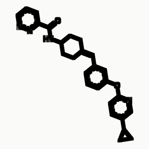 O=C(NC1CCC(=Cc2cccc(Oc3ccc(C4CC4)cn3)c2)CC1)c1cccnn1